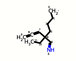 [CH2]CCCC(C=N)(C=C=C)CC